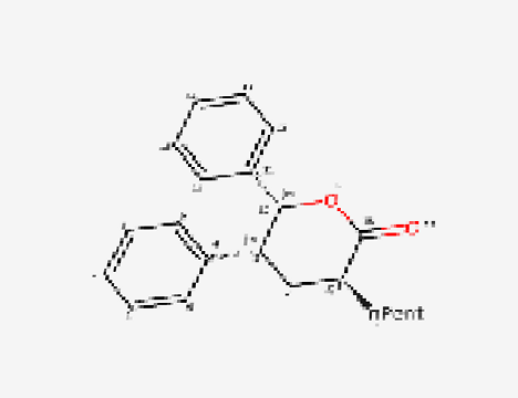 CCCCC[C@H]1C[C@H](c2ccccc2)[C@H](c2ccccc2)OC1=O